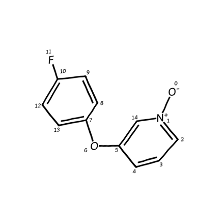 [O-][n+]1cccc(Oc2ccc(F)cc2)c1